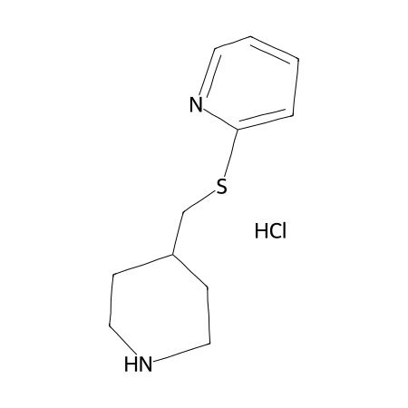 Cl.c1ccc(SCC2CCNCC2)nc1